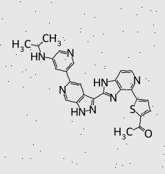 CC(=O)c1ccc(-c2nccc3[nH]c(-c4n[nH]c5cnc(-c6cncc(NC(C)C)c6)cc45)nc23)s1